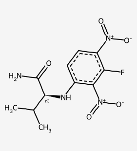 CC(C)[C@H](Nc1ccc([N+](=O)[O-])c(F)c1[N+](=O)[O-])C(N)=O